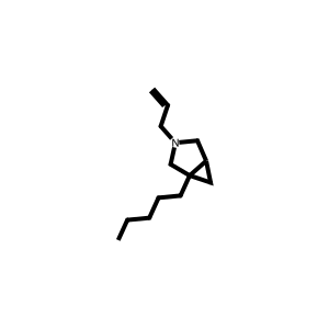 C=CCN1CC2CC2(CCCCC)C1